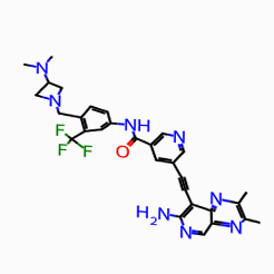 Cc1nc2cnc(N)c(C#Cc3cncc(C(=O)Nc4ccc(CN5CC(N(C)C)C5)c(C(F)(F)F)c4)c3)c2nc1C